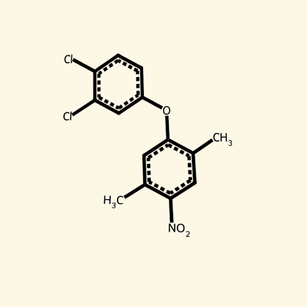 Cc1cc([N+](=O)[O-])c(C)cc1Oc1ccc(Cl)c(Cl)c1